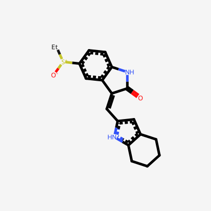 CC[S+]([O-])c1ccc2c(c1)/C(=C/c1cc3c([nH]1)CCCC3)C(=O)N2